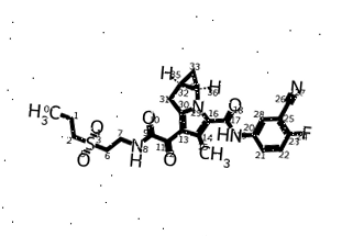 CCCS(=O)(=O)CCNC(=O)C(=O)c1c(C)c(C(=O)Nc2ccc(F)c(C#N)c2)n2c1C[C@H]1C[C@H]12